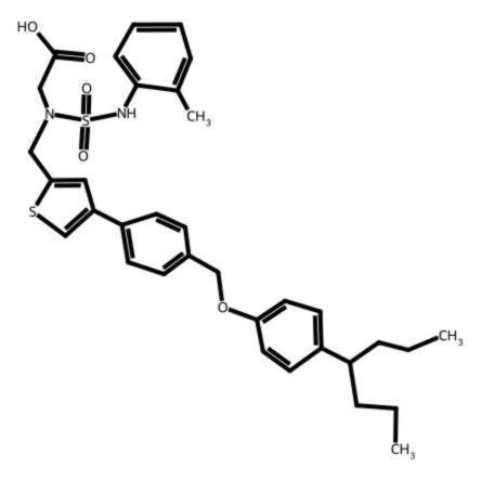 CCCC(CCC)c1ccc(OCc2ccc(-c3csc(CN(CC(=O)O)S(=O)(=O)Nc4ccccc4C)c3)cc2)cc1